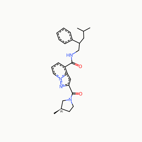 CC(C)CC(CNC(=O)c1cccn2nc(C(=O)N3CC[C@@H](C)C3)cc12)c1ccccc1